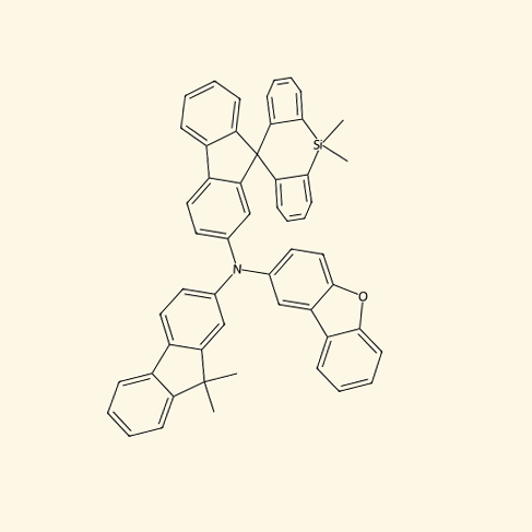 CC1(C)c2ccccc2-c2ccc(N(c3ccc4c(c3)C3(c5ccccc5-4)c4ccccc4[Si](C)(C)c4ccccc43)c3ccc4oc5ccccc5c4c3)cc21